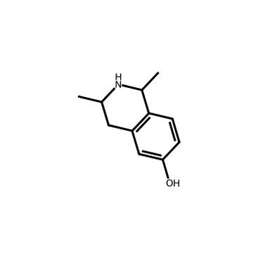 CC1Cc2cc(O)ccc2C(C)N1